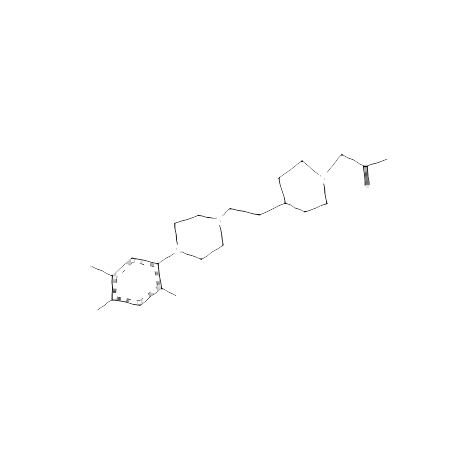 CC(=O)CN1CCC(CCN2CCN(c3cc(Cl)c(Cl)cc3Cl)CC2)CC1